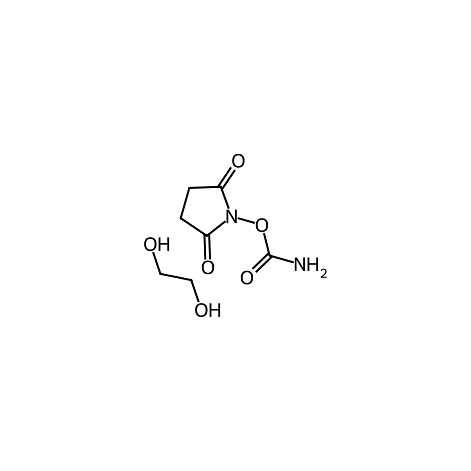 NC(=O)ON1C(=O)CCC1=O.OCCO